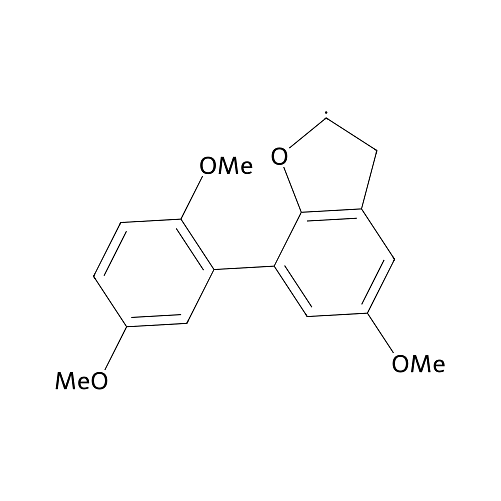 COc1ccc(OC)c(-c2cc(OC)cc3c2O[CH]C3)c1